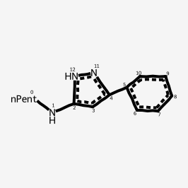 CCCCCNc1cc(-c2ccccc2)n[nH]1